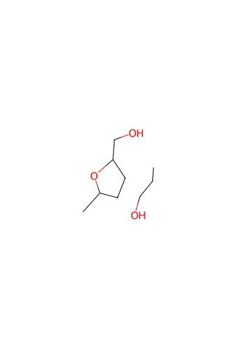 CC1CCC(CO)O1.CCCO